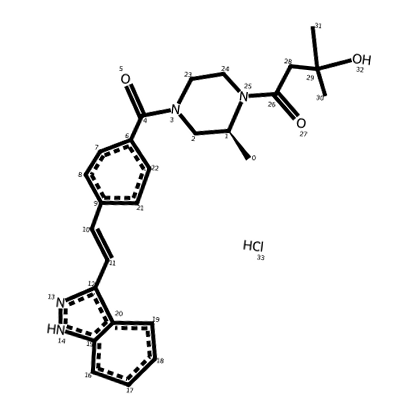 C[C@H]1CN(C(=O)c2ccc(/C=C/c3n[nH]c4ccccc34)cc2)CCN1C(=O)CC(C)(C)O.Cl